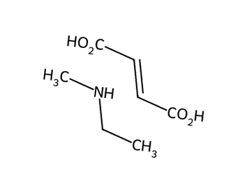 CCNC.O=C(O)/C=C/C(=O)O